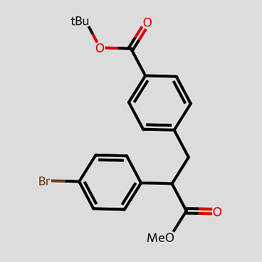 COC(=O)C(Cc1ccc(C(=O)OC(C)(C)C)cc1)c1ccc(Br)cc1